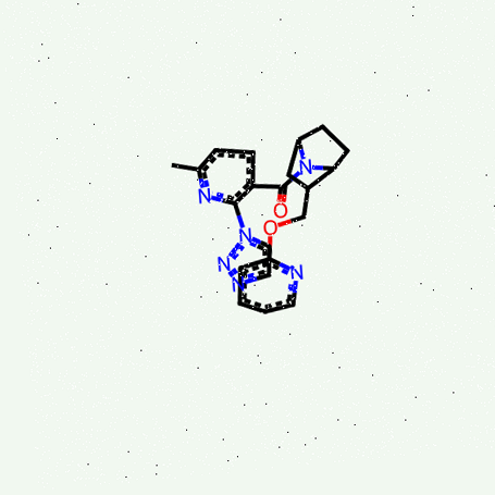 Cc1ccc(C(=O)N2C3CCC2C(COc2ccccn2)C3)c(-n2ccnn2)n1